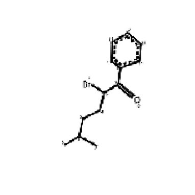 CC(C)CCC(Br)C(=O)c1ccccc1